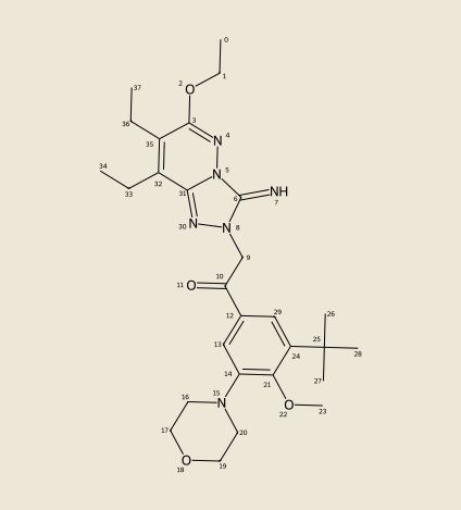 CCOc1nn2c(=N)n(CC(=O)c3cc(N4CCOCC4)c(OC)c(C(C)(C)C)c3)nc2c(CC)c1CC